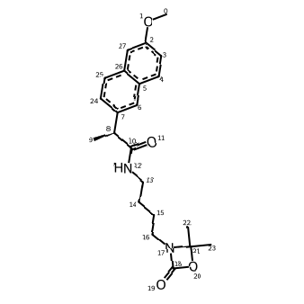 COc1ccc2cc([C@H](C)C(=O)NCCCCN3C(=O)OC3(C)C)ccc2c1